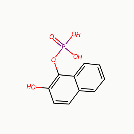 O=P(O)(O)Oc1c(O)ccc2ccccc12